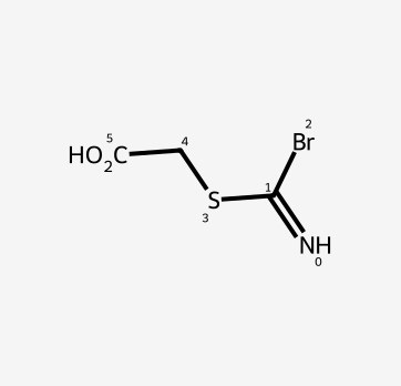 N=C(Br)SCC(=O)O